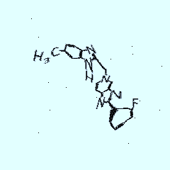 Cc1ccc2nc(Cn3ccc4nc(-c5ccccc5F)nc-4c3)[nH]c2c1